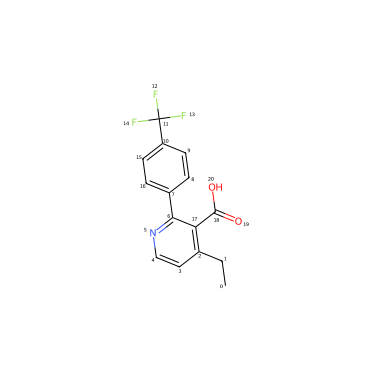 CCc1ccnc(-c2ccc(C(F)(F)F)cc2)c1C(=O)O